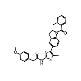 COc1ccc(CC(=O)Nc2nc(-c3ccc4c(c3)CCN4C(=O)c3ccccc3C)c(C)s2)cc1